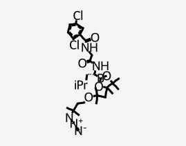 CC(C)C[C@H](NC(=O)CNC(=O)c1cc(Cl)ccc1Cl)B1OC(C)(C)C(C)(CC(C)(C)OCCC(C)(C)N=[N+]=[N-])O1